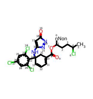 CCCCCCCCCC(CCC(C)Cl)OC(=O)C1=CC=CC(NC2=CC(=O)N=N2)(c2c(Cl)cc(Cl)cc2Cl)C1